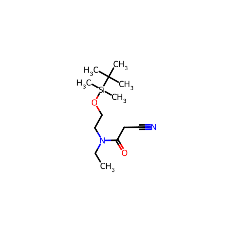 CCN(CCO[Si](C)(C)C(C)(C)C)C(=O)CC#N